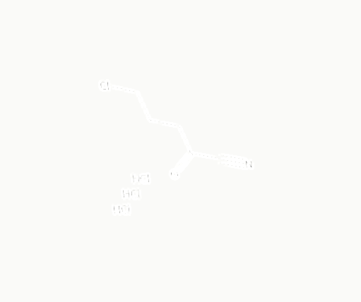 Cl.Cl.Cl.N#CC(=O)CCCCl